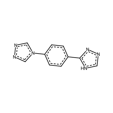 c1nnc(-c2ccc(-n3cnnc3)cc2)[nH]1